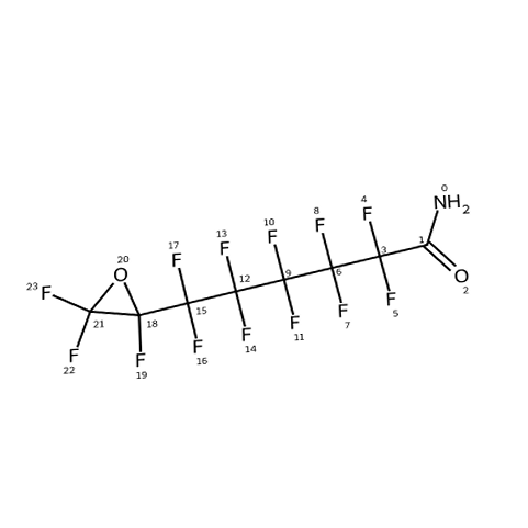 NC(=O)C(F)(F)C(F)(F)C(F)(F)C(F)(F)C(F)(F)C1(F)OC1(F)F